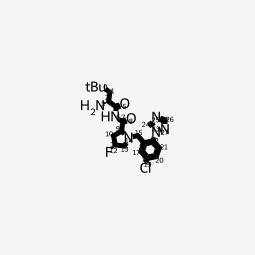 CC(C)(C)C[C@@H](N)C(=O)NC(=O)C1C[C@@H](F)CN1Cc1cc(Cl)ccc1-n1cncn1